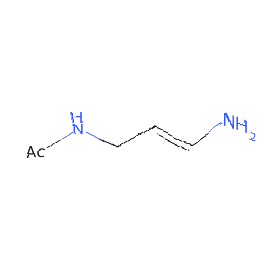 CC(=O)NCC=CN